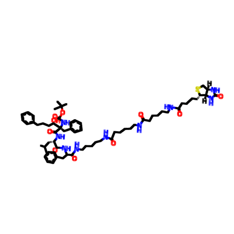 CC(C)C[C@H](NC(=O)[C@@](Cc1ccccc1)(NC(=O)OC(C)(C)C)[C@H](O)CCCc1ccccc1)C(=O)NC(Cc1ccccc1)C(=O)NCCCCCNC(=O)CCCCCNC(=O)CCCCCNC(=O)CCCC[C@@H]1SC[C@@H]2NC(=O)N[C@@H]21